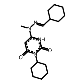 CN(/N=C/C1CCCCC1)c1cc(=O)n(C2CCCCC2)c(=O)[nH]1